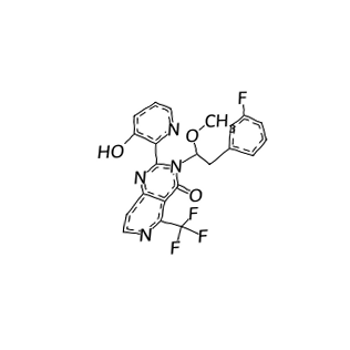 COC(Cc1cccc(F)c1)n1c(-c2ncccc2O)nc2ccnc(C(F)(F)F)c2c1=O